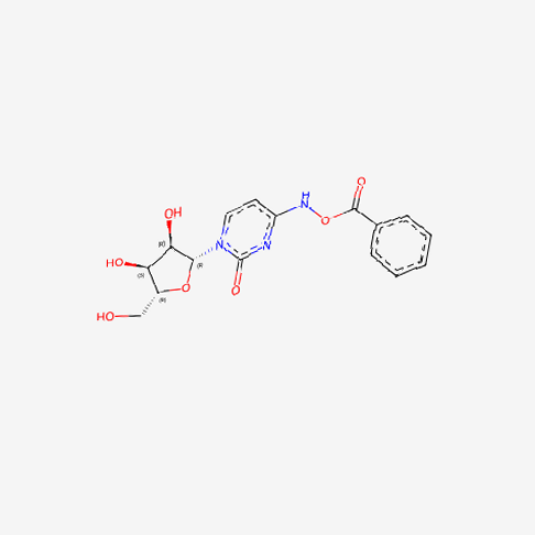 O=C(ONc1ccn([C@@H]2O[C@H](CO)[C@@H](O)[C@H]2O)c(=O)n1)c1ccccc1